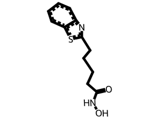 O=C(CCCCc1nc2ccccc2s1)NO